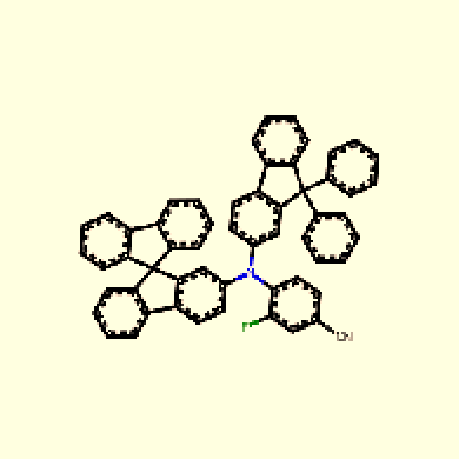 N#Cc1ccc(N(c2ccc3c(c2)C(c2ccccc2)(c2ccccc2)c2ccccc2-3)c2ccc3c(c2)C2(c4ccccc4-c4ccccc42)c2ccccc2-3)c(F)c1